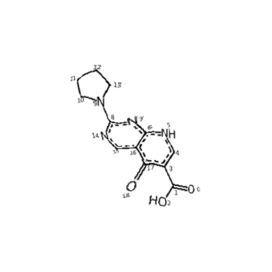 O=C(O)c1c[nH]c2nc(N3CCCC3)ncc2c1=O